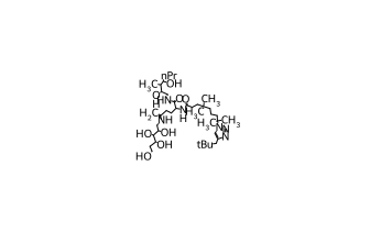 C=C(CCC(NC(=O)CCC(C)(C)CCCC(C)(C)n1cc(CC(C)(C)C)nn1)C(=O)NCC(O)C(C)C(O)CCC)NCC(O)C(O)C(O)CCO